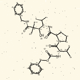 CC(C)[C@H](NC(=O)C1CCCN1C(=O)[C@@H](NC(=O)OCc1ccccc1)C(C)C)C(O)C(F)(F)C(=O)NCc1ccccc1